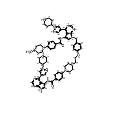 CN1CCN(c2ccc(C(=O)Nc3cn(Cc4ccc(OCCN5CCN(c6ccc(C(=O)Nc7c[nH]c8ncnc(-c9cnn(C%10CCNCC%10)c9)c78)cc6)CC5)cc4)c4ncnc(-c5cnn(C6CCNCC6)c5)c34)cc2)CC1